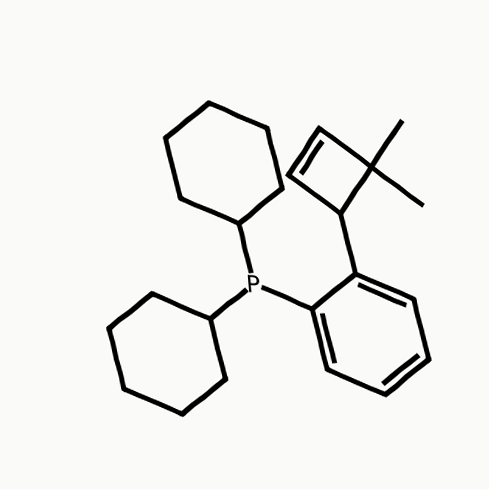 CC1(C)C=CC1c1ccccc1P(C1CCCCC1)C1CCCCC1